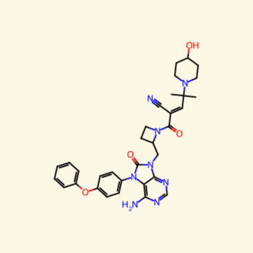 CC(C)(C=C(C#N)C(=O)N1CCC1Cn1c(=O)n(-c2ccc(Oc3ccccc3)cc2)c2c(N)ncnc21)N1CCC(O)CC1